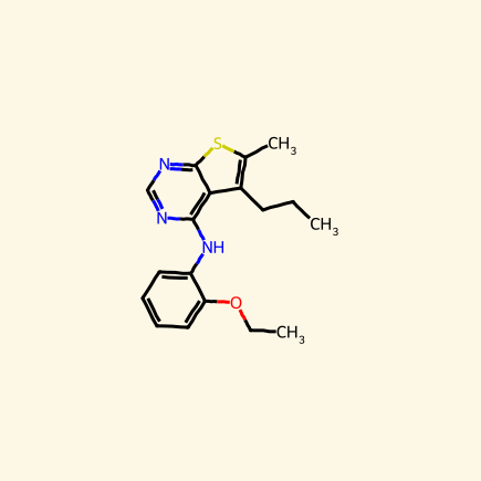 CCCc1c(C)sc2ncnc(Nc3ccccc3OCC)c12